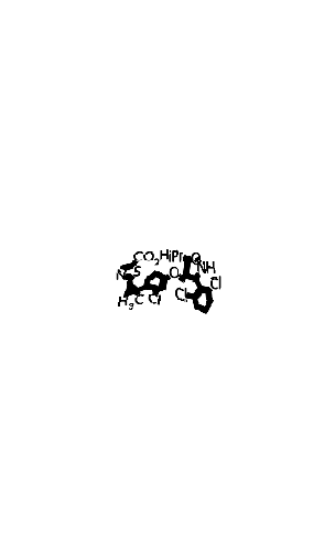 CC(C)C1=C(COc2ccc(C3(C)CC3c3ncc(C(=O)O)s3)c(Cl)c2)C(c2c(Cl)cccc2Cl)NO1